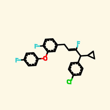 FC(=CCc1ccc(F)c(Oc2ccc(F)cc2)c1)C(c1ccc(Cl)cc1)C1CC1